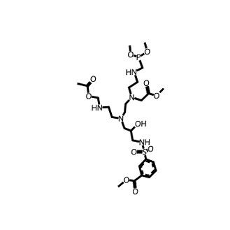 COC(=O)CN(CCNCP(OC)OC)CCN(CCNCOC(C)=O)CC(O)CNS(=O)(=O)c1cccc(C(=O)OC)c1